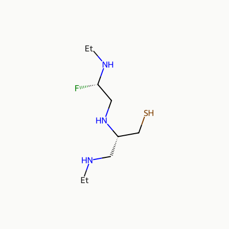 CCNC[C@@H](CS)NC[C@H](F)NCC